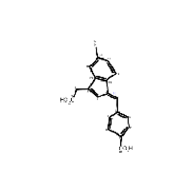 O=C(O)CC1=C/C(=C\c2ccc(C(=O)O)cc2)c2ccc(F)cc21